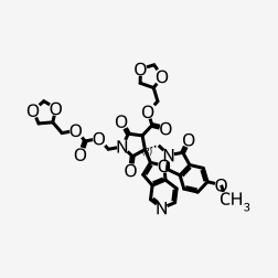 COc1ccc2c(c1)C(=O)N(C[C@]1(c3cc4cnccc4o3)C(=O)N(COC(=O)OCC3COCO3)C(=O)C1C(=O)OCC1COCO1)C2